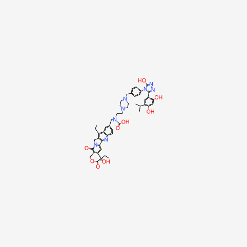 CCc1c2c(nc3ccc(CN(CCN4CCN(Cc5ccc(-n6c(O)nnc6-c6cc(C(C)C)c(O)cc6O)cc5)CC4)C(=O)O)cc13)-c1cc3c(c(=O)n1C2)COC(=O)[C@]3(O)CC